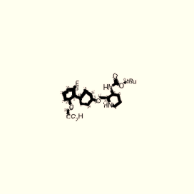 CC(C)(C)OC(=O)NC1CCCNC1COC1CC=C(c2c(F)cccc2OCC(=O)O)CC1